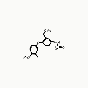 COCc1cc(N[SH](=O)=O)ccc1Oc1ccc(SC)c(C)c1